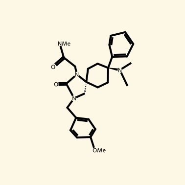 CNC(=O)CN1C(=O)N(Cc2ccc(OC)cc2)C[C@]12CC[C@](c1ccccc1)(N(C)C)CC2